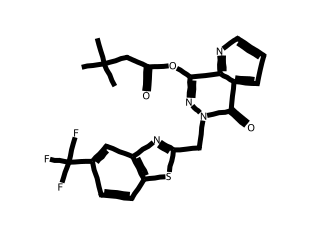 CC(C)(C)CC(=O)Oc1nn(Cc2nc3cc(C(F)(F)F)ccc3s2)c(=O)c2cccnc12